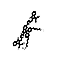 CCCCCCc1ccc(C2(c3ccc(CCCCCC)cc3)c3cc(-c4ccc(/C=C5\C(=O)c6ccccc6C5=C(C#N)C#N)s4)ccc3-c3sc4cc(/C=C5\C(=O)c6ccccc6C5=C(C#N)C#N)sc4c32)cc1